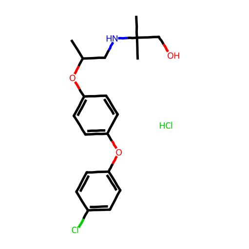 CC(CNC(C)(C)CO)Oc1ccc(Oc2ccc(Cl)cc2)cc1.Cl